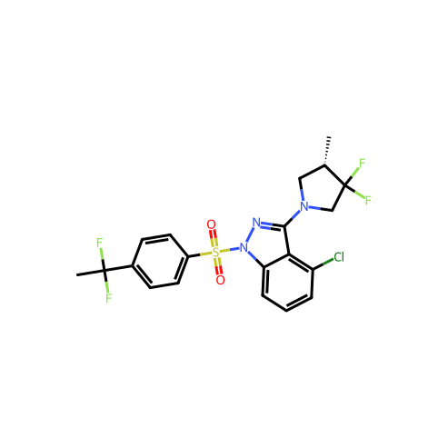 C[C@H]1CN(c2nn(S(=O)(=O)c3ccc(C(C)(F)F)cc3)c3cccc(Cl)c23)CC1(F)F